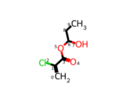 C=C(Cl)C(=O)OC(O)CC